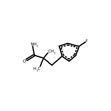 CC(C)(Cc1ccc(F)cc1)C(N)=O